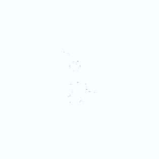 O=C(O)c1ccccc1COc1ccc2c(c1)OCO2